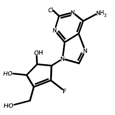 Nc1nc(Cl)nc2c1ncn2C1C(F)=C(CO)C(O)C1O